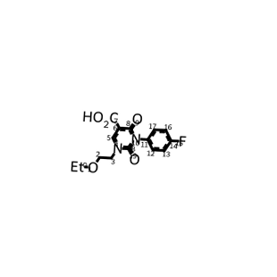 CCOCCn1cc(C(=O)O)c(=O)n(-c2ccc(F)cc2)c1=O